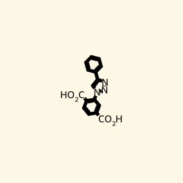 O=C(O)c1ccc(C(=O)O)c(-n2cc(-c3ccccc3)nn2)c1